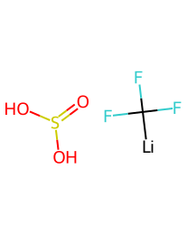 O=S(O)O.[Li][C](F)(F)F